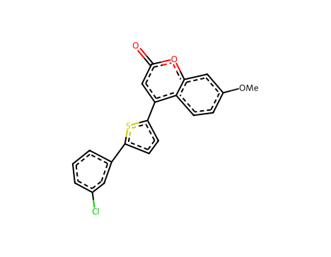 COc1ccc2c(-c3ccc(-c4cccc(Cl)c4)s3)cc(=O)oc2c1